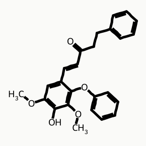 COc1cc(C=CC(=O)CCc2ccccc2)c(Oc2ccccc2)c(OC)c1O